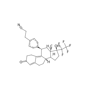 C[C@]12C[C@H](c3ccc(CCC#N)cc3)C3=C4CCC(=O)C=C4CC[C@H]3[C@@H]1CC[C@@]2(O)C(F)(F)C(F)(F)F